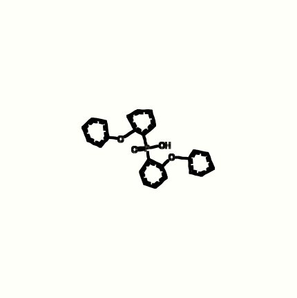 O=P(O)(c1ccccc1Oc1ccccc1)c1ccccc1Oc1ccccc1